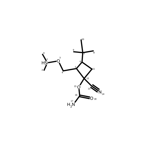 C[SiH](C)OCC1C(C(C)(C)C)CC1(C#N)OC(N)=O